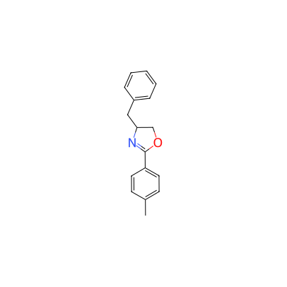 Cc1ccc(C2=NC(Cc3ccccc3)CO2)cc1